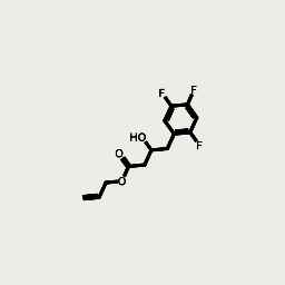 C=CCOC(=O)CC(O)Cc1cc(F)c(F)cc1F